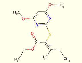 CCOC(=O)/C(Sc1nc(OC)cc(OC)n1)=C(\C)CC